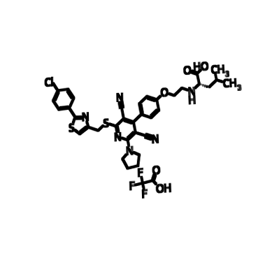 CC(C)C[C@H](NCCOc1ccc(-c2c(C#N)c(SCc3csc(-c4ccc(Cl)cc4)n3)nc(N3CCCC3)c2C#N)cc1)C(=O)O.O=C(O)C(F)(F)F